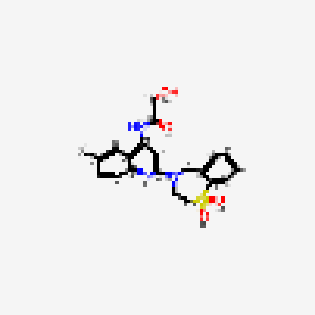 Cc1ccc2nc(N3CCS(=O)(=O)c4ccccc4C3)cc(NC(=O)CO)c2c1